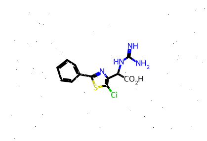 N=C(N)NC(C(=O)O)c1nc(-c2ccccc2)sc1Cl